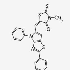 CN1C(=O)/C(=C\c2cc3sc(-c4ccccc4)nc3n2-c2ccccc2)SC1=S